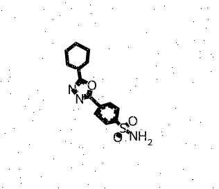 NS(=O)(=O)c1ccc(-c2nnc(C3CCCCC3)o2)cc1